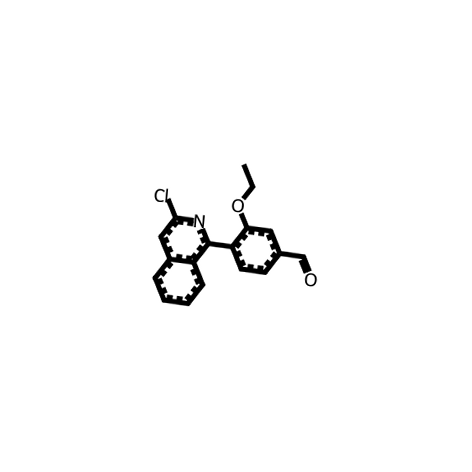 CCOc1cc(C=O)ccc1-c1nc(Cl)cc2ccccc12